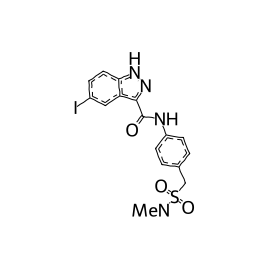 CNS(=O)(=O)Cc1ccc(NC(=O)c2n[nH]c3ccc(I)cc23)cc1